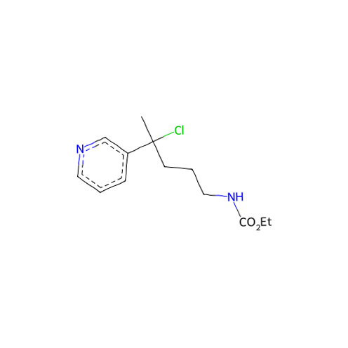 CCOC(=O)NCCCC(C)(Cl)c1cccnc1